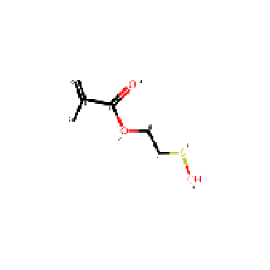 C=C(C)C(=O)OCCSO